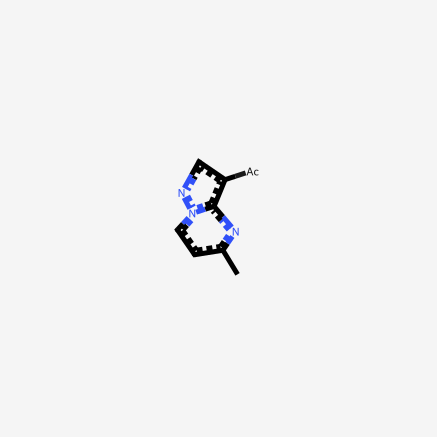 CC(=O)c1cnn2ccc(C)nc12